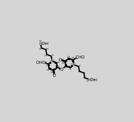 CCCCCCCCCCCCCCn1cc(Oc2cn(CCCCCCCCCCCCCC)c(C=O)cc2=O)c(=O)cc1C=O